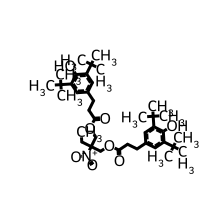 CCC(COC(=O)CCc1cc(C(C)(C)C)c(O)c(C(C)(C)C)c1)(COC(=O)CCc1cc(C(C)(C)C)c(O)c(C(C)(C)C)c1)[N+](=O)[O-]